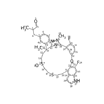 CC(C=O)Cc1cccc(C2(C)CC[S+]([O-])CCSCCc3c(c(F)cc4[nH]ccc34)Oc3ccc(F)c(c3)-c3nc2nn3C)c1